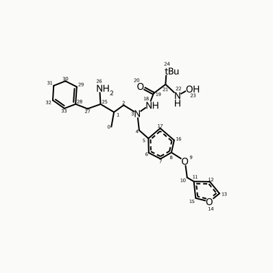 CC(CN(Cc1ccc(OCc2ccoc2)cc1)NC(=O)C(NO)C(C)(C)C)C(N)CC1=CCCC=C1